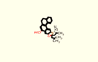 CC(C)CC1(CC(C)C)Oc2cc3c(O)cc4c(c3cc2S1)-c1ccccc1CC4